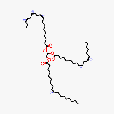 CC/C=C\C/C=C\C/C=C\CCCCCCCC(=O)OC(COC(=O)CCCCCCC/C=C\CCCCCCCC)OC(=O)CCCCCCC/C=C\C/C=C\CCCCC